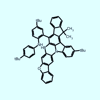 CC(C)(C)c1ccc(Nc2ccc(C(C)(C)C)cc2-c2c3c(c4c5cc(C(C)(C)C)ccc5n5c4c2Bc2cc4oc6ccccc6c4cc2-5)C(C)(C)c2ccccc2-3)cc1